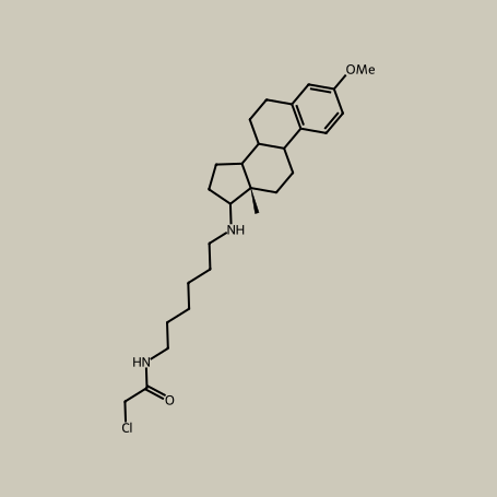 COc1ccc2c(c1)CCC1C2CC[C@]2(C)C(NCCCCCCNC(=O)CCl)CCC12